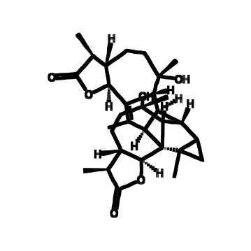 CC1=C2[C@H]3OC(=O)[C@@H](C)[C@@H]3CC[C@](C)(O)[C@@H]2[C@H]2[C@@H]3C4CC4(C)[C@@]4([C@@H]3[C@@](C)(O)CC[C@H]3[C@H](C)C(=O)O[C@@H]34)[C@@H]12